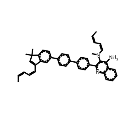 C/C=C\C=C/C1=CC(C)(C)c2ccc(-c3ccc(-c4ccc(-c5nc6ccccc6c(N)c5N(C)/C=C\C=C/C)cc4)cc3)cc21